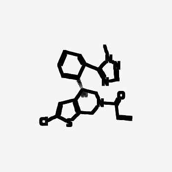 C=CC(=O)N1Cc2sc(Cl)cc2[C@H](c2ccccc2-c2ncnn2C)C1